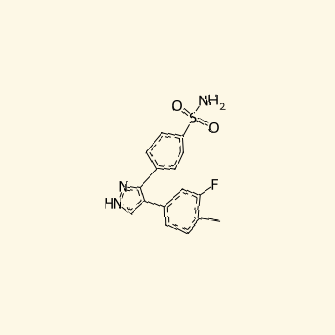 Cc1ccc(-c2c[nH]nc2-c2ccc(S(N)(=O)=O)cc2)cc1F